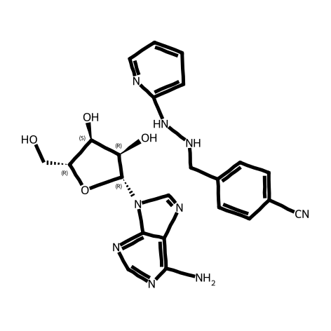 N#Cc1ccc(CNNc2ccccn2)cc1.Nc1ncnc2c1ncn2[C@@H]1O[C@H](CO)[C@@H](O)[C@H]1O